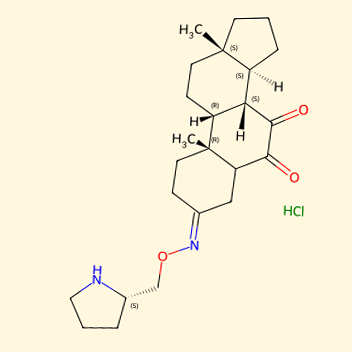 C[C@@]12CCC[C@H]1[C@@H]1C(=O)C(=O)C3CC(=NOC[C@@H]4CCCN4)CC[C@]3(C)[C@@H]1CC2.Cl